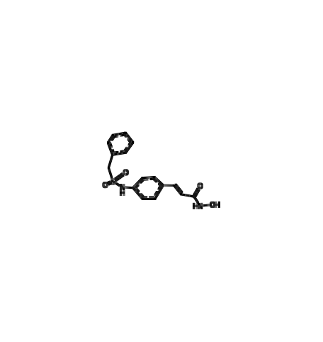 O=C(C=Cc1ccc(NS(=O)(=O)Cc2ccccc2)cc1)NO